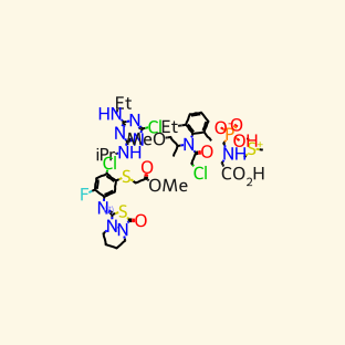 CCNc1nc(Cl)nc(NC(C)C)n1.CCc1cccc(C)c1N(C(=O)CCl)C(C)COC.COC(=O)CSc1cc(/N=c2\sc(=O)n3n2CCCC3)c(F)cc1Cl.C[S+](C)C.O=C(O)CNCP(=O)([O-])O